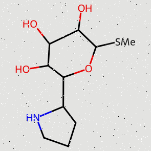 CSC1OC(C2CCCN2)C(O)C(O)C1O